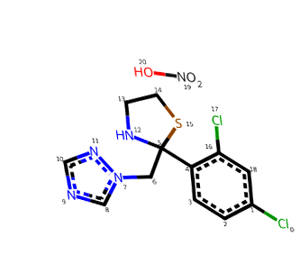 Clc1ccc(C2(Cn3cncn3)NCCS2)c(Cl)c1.O=[N+]([O-])O